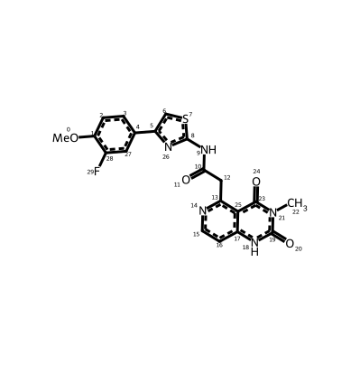 COc1ccc(-c2csc(NC(=O)Cc3nccc4[nH]c(=O)n(C)c(=O)c34)n2)cc1F